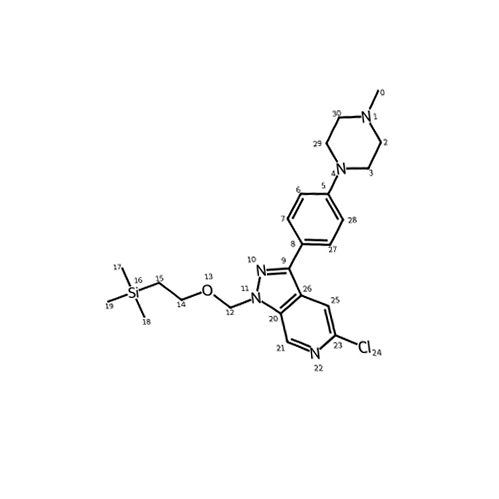 CN1CCN(c2ccc(-c3nn(COCC[Si](C)(C)C)c4cnc(Cl)cc34)cc2)CC1